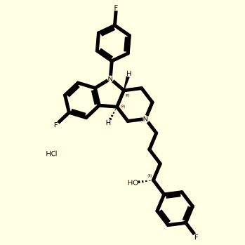 Cl.O[C@H](CCCN1CC[C@@H]2[C@@H](C1)c1cc(F)ccc1N2c1ccc(F)cc1)c1ccc(F)cc1